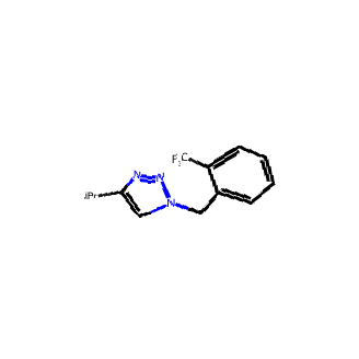 CC(C)c1cn(Cc2ccccc2C(F)(F)F)nn1